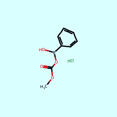 COC(=O)OB(O)c1ccccc1.Cl